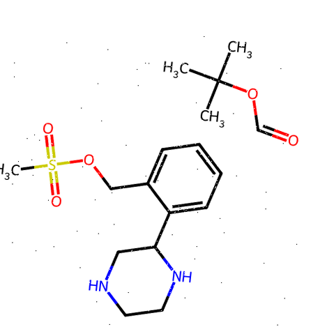 CC(C)(C)OC=O.CS(=O)(=O)OCc1ccccc1C1CNCCN1